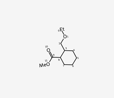 CCOCC1CCCCC1C(=O)OC